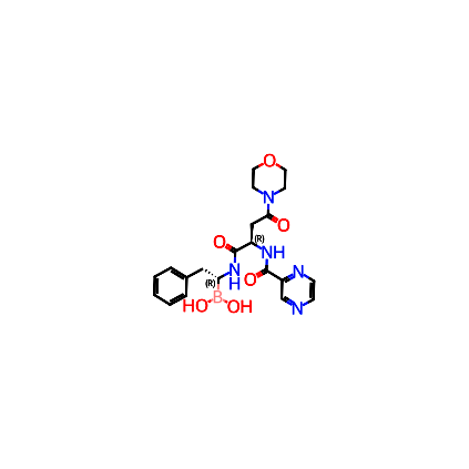 O=C(N[C@H](CC(=O)N1CCOCC1)C(=O)N[C@@H](Cc1ccccc1)B(O)O)c1cnccn1